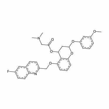 COc1cccc(OC2CC(OC(=O)CN(C)C)c3c(OCc4ccc5cc(F)ccc5n4)cccc3O2)c1